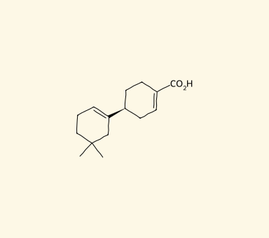 CC1(C)CCC=C([C@@H]2CC=C(C(=O)O)CC2)C1